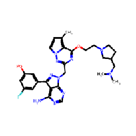 Cc1ccn2nc(Cn3nc(-c4cc(O)cc(F)c4)c4c(N)ncnc43)nc(OCCN3CCC(CN(C)C)C3)c12